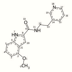 COc1cccc2[nH]c(C(=O)NCCc3cccnc3)cc12